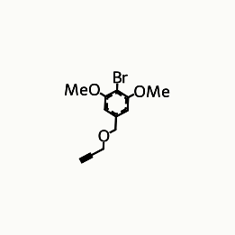 C#CCOCc1cc(OC)c(Br)c(OC)c1